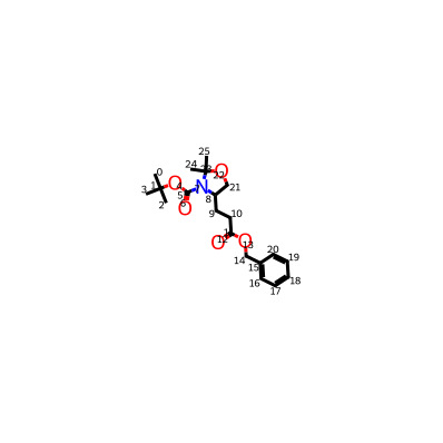 CC(C)(C)OC(=O)N1C(CCC(=O)OCc2ccccc2)COC1(C)C